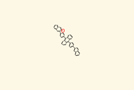 c1ccc2cc(-c3ccc(-c4c5ccccc5c(-c5ccc6c(c5)oc5cc7ccccc7cc56)c5ccccc45)cc3)ccc2c1